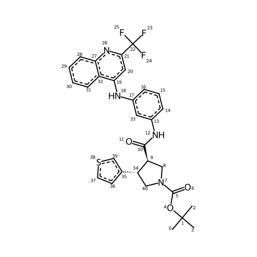 CC(C)(C)OC(=O)N1C[C@H](C(=O)Nc2cccc(Nc3cc(C(F)(F)F)nc4ccccc34)c2)[C@@H](c2ccsc2)C1